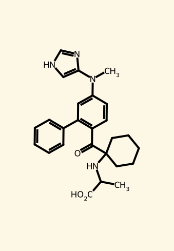 CC(NC1(C(=O)c2ccc(N(C)c3c[nH]cn3)cc2-c2ccccc2)CCCCC1)C(=O)O